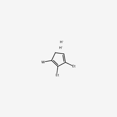 CCC1=CC[C]([W])=C1CC.[H-].[H-]